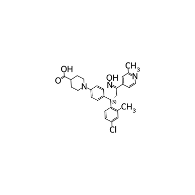 Cc1cc(C(C[C@@H](c2ccc(N3CCC(C(=O)O)CC3)cc2)c2ccc(Cl)cc2C)=NO)ccn1